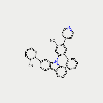 N#Cc1ccccc1-c1ccc2c3ccccc3n(-c3cc(C#N)c(-c4ccncc4)cc3-c3ccccc3)c2c1